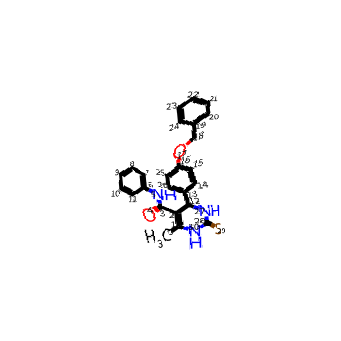 CC1=C(C(=O)Nc2ccccc2)C(c2ccc(OCc3ccccc3)cc2)NC(=S)N1